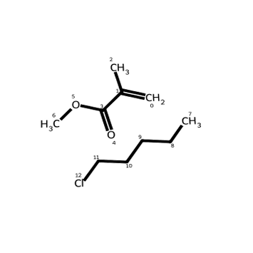 C=C(C)C(=O)OC.CCCCCCl